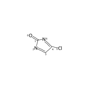 O=C1N=CC(Cl)=N1